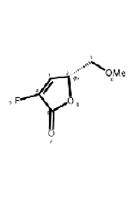 COC[C@H]1C=C(F)C(=O)O1